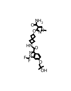 Cn1cc(C(N)=O)c(O[C@H]2CC3(C[C@H](NC(=O)c4nn(C(F)F)c5cc(OCC(C)(C)O)ccc45)C3)C2)n1